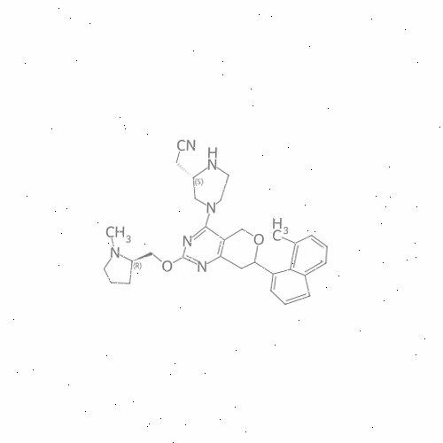 Cc1cccc2cccc(C3Cc4nc(OC[C@H]5CCCN5C)nc(N5CCN[C@@H](CC#N)C5)c4CO3)c12